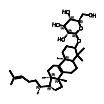 CC(C)=CCC[C@@H](C)[C@H]1CC[C@@]2(C)C3=C(CC[C@]12C)[C@@]1(C)CCC(O[C@@H]2O[C@H](CO)[C@@H](O)[C@H](O)[C@H]2O)C(C)(C)C1CC3